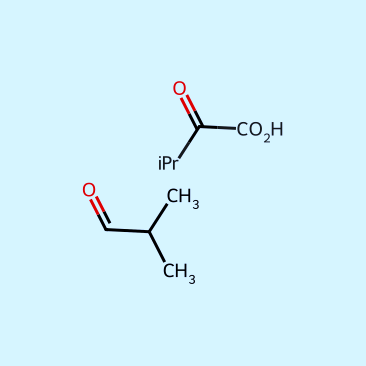 CC(C)C(=O)C(=O)O.CC(C)C=O